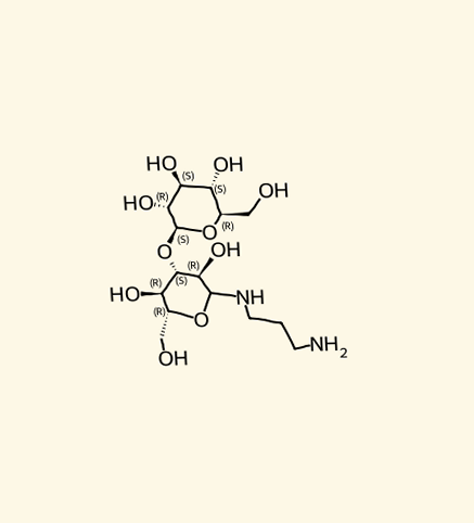 NCCCNC1O[C@H](CO)[C@@H](O)[C@H](O[C@@H]2O[C@H](CO)[C@@H](O)[C@H](O)[C@H]2O)[C@H]1O